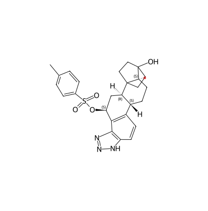 Cc1ccc(S(=O)(=O)O[C@H]2C[C@@H]3[C@H](CC[C@]4(C)C5(O)CCC34CC5)c3ccc4[nH]nnc4c32)cc1